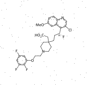 COc1ccc2ncc(Cl)c([C@H](F)CCC3(CC(=O)O)CCN(CCOc4cc(F)cc(F)c4F)CC3)c2c1